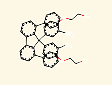 Cc1cc(C2(c3ccc(OCCO)c(C)c3)c3c(-c4ccccc4)cccc3-c3cccc(-c4ccccc4)c32)ccc1OCCO